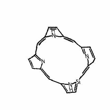 C1=Cc2cc3cc[si](cc4nc(cc5ccc(cc1n2)[nH]5)C=C4)[nH]3